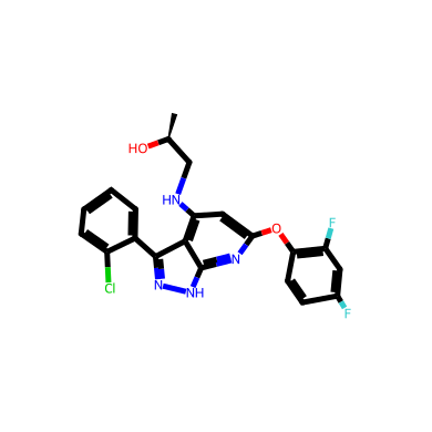 C[C@H](O)CNc1cc(Oc2ccc(F)cc2F)nc2[nH]nc(-c3ccccc3Cl)c12